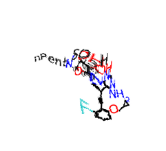 CCCCCN(C[C@H]1O[C@@H](n2cc(C#Cc3c(F)cccc3OCC3CC3)c3c(N)ncnc32)[C@H](O)[C@@H]1O)S(=O)(=O)O